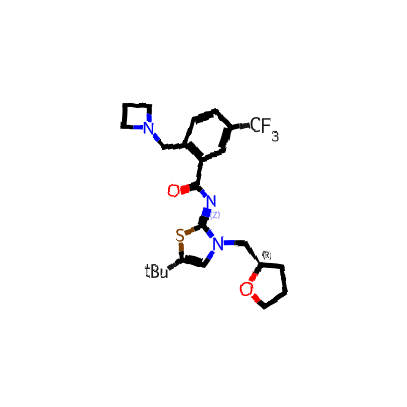 CC(C)(C)c1cn(C[C@H]2CCCO2)/c(=N/C(=O)c2cc(C(F)(F)F)ccc2CN2CCC2)s1